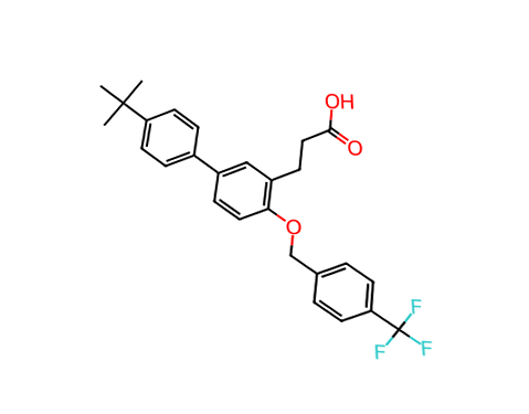 CC(C)(C)c1ccc(-c2ccc(OCc3ccc(C(F)(F)F)cc3)c(CCC(=O)O)c2)cc1